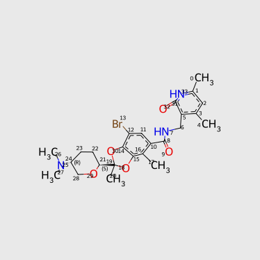 Cc1cc(C)c(CNC(=O)c2cc(Br)c3c(c2C)OC(C)([C@@H]2CC[C@@H](N(C)C)CO2)O3)c(=O)[nH]1